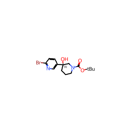 CC(C)(C)OC(=O)N1CCC[C@](O)(c2ccc(Br)nc2)C1